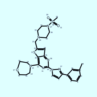 Cc1cccc(-c2ccn(-c3nc(N4CCCOCC4)c4sc(CN5CCN(S(C)(=O)=O)CC5)cc4n3)n2)c1